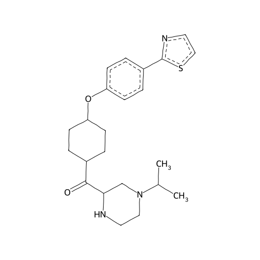 CC(C)N1CCNC(C(=O)C2CCC(Oc3ccc(-c4nccs4)cc3)CC2)C1